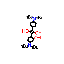 CCCCN(CCCC)c1ccc(C2=C(O)C(c3ccc(N(CCCC)CCCC)cc3O)=C2O)cc1